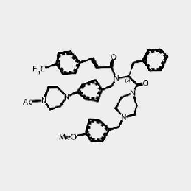 COc1ccc(CN2CCN(C(=O)[C@H](Cc3ccccc3)N(Cc3ccc(N4CCN(C(C)=O)CC4)cc3)C(=O)C=Cc3ccc(C(F)(F)F)cc3)CC2)cc1